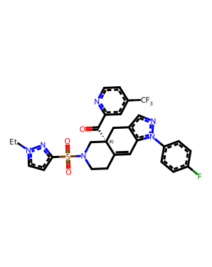 CCn1ccc(S(=O)(=O)N2CCC3=Cc4c(cnn4-c4ccc(F)cc4)C[C@]3(C(=O)c3cc(C(F)(F)F)ccn3)C2)n1